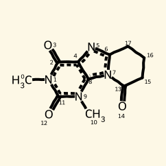 Cn1c(=O)c2nc3n(c2n(C)c1=O)C(=O)CCC3